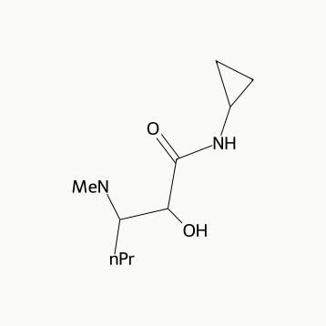 CCCC(NC)C(O)C(=O)NC1CC1